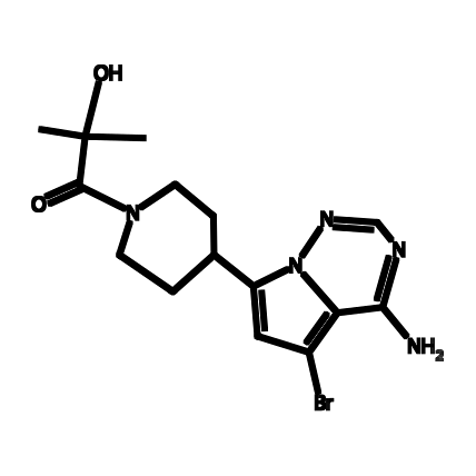 CC(C)(O)C(=O)N1CCC(c2cc(Br)c3c(N)ncnn23)CC1